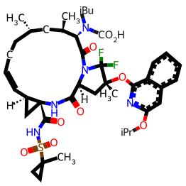 CCC(C)N(C(=O)O)[C@@H]1C(=O)N2[C@@H](C[C@@](C)(Oc3nc(OC(C)C)cc4ccccc34)C2(F)F)C(=O)N[C@]2(C(=O)NS(=O)(=O)C3(C)CC3)C[C@H]2/C=C\CC[C@H](C)C[C@H]1C